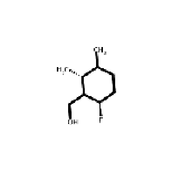 CC1CC[C@@H](F)C(CO)[C@@H]1C